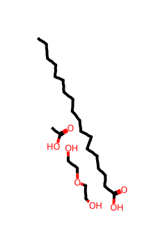 CC(=O)O.CCCCCCCCCCCCCCCCCC(=O)O.OCCOCCO